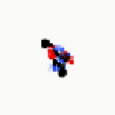 CNC(=O)[C@H](Cc1c(CC(C)C)[nH]c2ccccc12)NC(=O)CCC(=O)NOCc1ccccc1